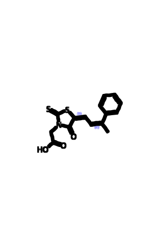 C/C(=C/C=C1/SC(=S)N(CC(=O)O)C1=O)c1ccccc1